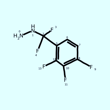 NNC(F)(F)c1ccc(F)c(F)c1F